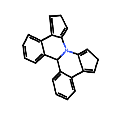 C1=C2C(=CC1)N1C3=CCC=C3c3ccccc3C1c1ccccc12